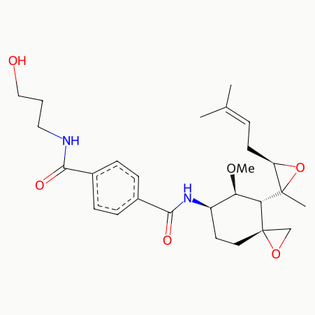 CO[C@H]1[C@H](C2(C)O[C@@H]2CC=C(C)C)[C@]2(CC[C@H]1NC(=O)c1ccc(C(=O)NCCCO)cc1)CO2